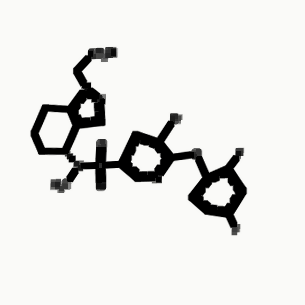 CCOC(=O)Cn1ncc2c1CCC[C@H]2N(C)S(=O)(=O)c1cnc(Oc2ccc(F)cc2F)c(Br)c1